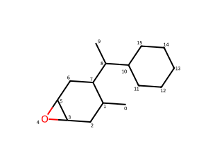 CC1CC2OC2CC1C(C)C1CCCCC1